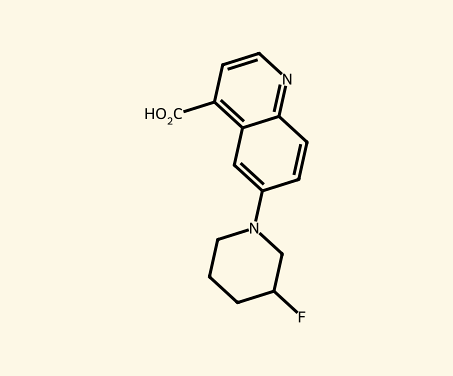 O=C(O)c1ccnc2ccc(N3CCCC(F)C3)cc12